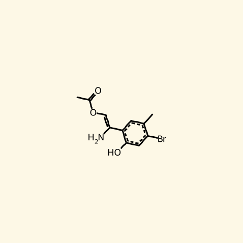 CC(=O)OC=C(N)c1cc(C)c(Br)cc1O